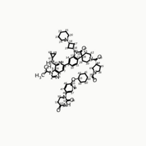 CC(C)n1cnc2cc(-c3ccc4c(c3)N([C@H]3C[C@@H](N5CCCCC5)C3)C(=O)C43CCN(C(=O)[C@@H]4CCN(C(=O)[C@H]5CC[C@H](Oc6ccc(N7CCC(=O)NC7=O)cn6)CC5)C4)CC3)nc(NC3CC3)c21